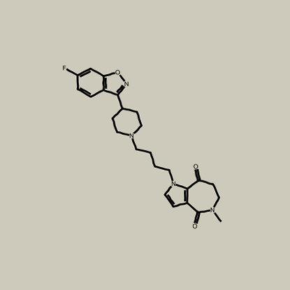 CN1CCC(=O)c2c(ccn2CCCCN2CCC(c3noc4cc(F)ccc34)CC2)C1=O